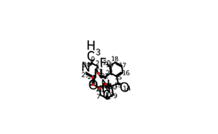 Cc1cnc(OC2CC3CCC2N(C(=O)c2cccc(F)c2-c2ncccn2)C3)cn1